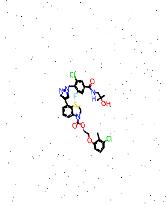 Cc1c(Cl)cccc1OCCOC(=O)N1CCSc2c(-c3cnn(Cc4c(F)cc(C(=O)NCC(C)(C)O)cc4Cl)c3)cccc21